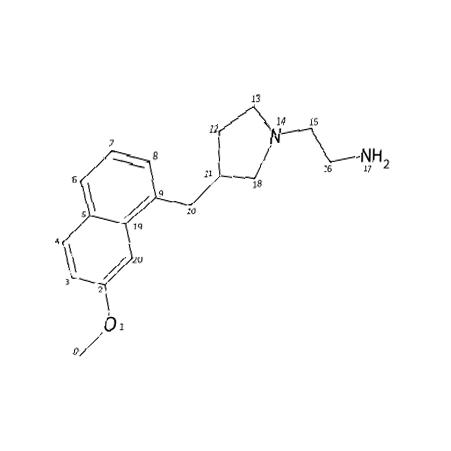 COc1ccc2cccc(CC3CCN(CCN)C3)c2c1